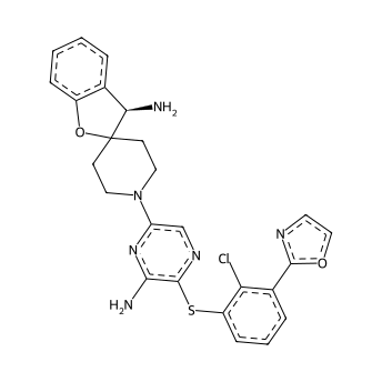 Nc1nc(N2CCC3(CC2)Oc2ccccc2[C@H]3N)cnc1Sc1cccc(-c2ncco2)c1Cl